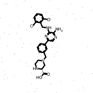 Nc1ncc(-c2cccc(CN3CCN[C@@H](C(=O)O)C3)c2)nc1NCc1c(Cl)cccc1Cl